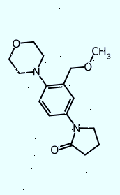 COCc1cc(N2CCCC2=O)ccc1N1CCOCC1